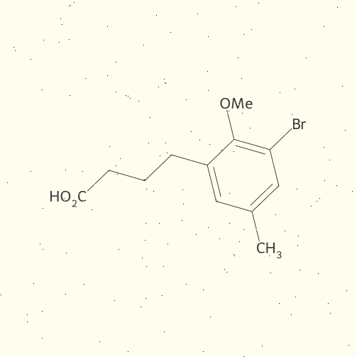 COc1c(Br)cc(C)cc1CCCC(=O)O